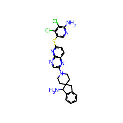 Nc1ncc(Sc2ccc3nc(N4CCC5(CC4)Cc4ccccc4[C@H]5N)cnc3n2)c(Cl)c1Cl